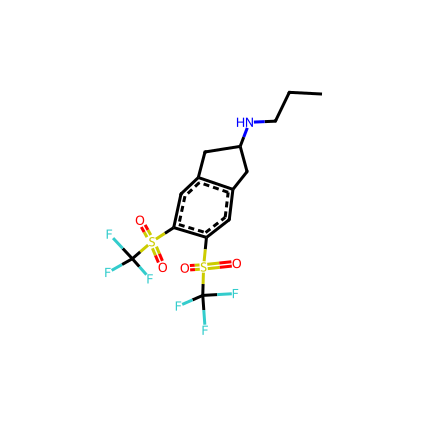 CCCNC1Cc2cc(S(=O)(=O)C(F)(F)F)c(S(=O)(=O)C(F)(F)F)cc2C1